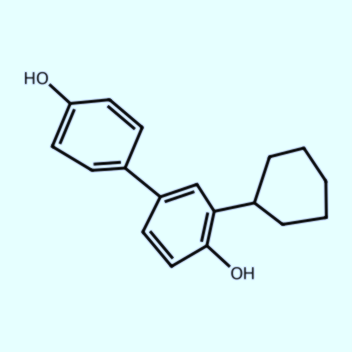 Oc1ccc(-c2ccc(O)c(C3CCCCC3)c2)cc1